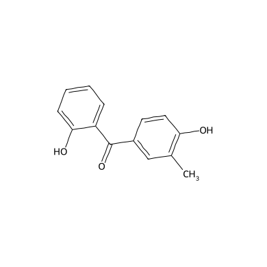 Cc1cc(C(=O)c2ccccc2O)ccc1O